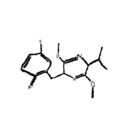 COC1=NC(C(C)C)C(OC)=NC1Cc1cc(F)ccc1F